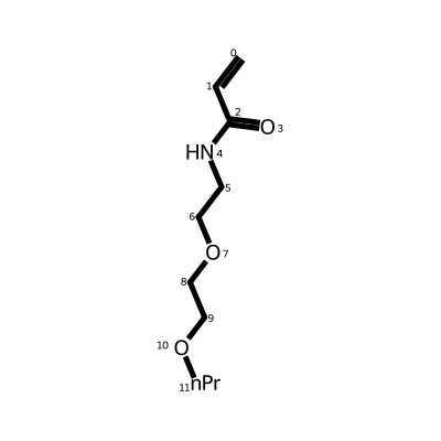 C=CC(=O)NCCOCCOCCC